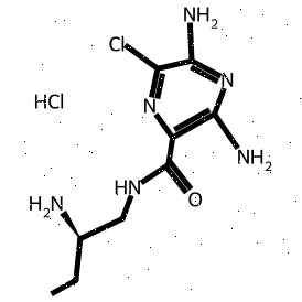 CC[C@@H](N)CNC(=O)c1nc(Cl)c(N)nc1N.Cl